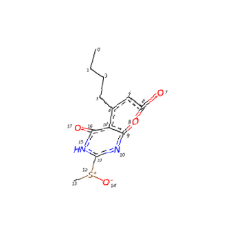 CCCCc1cc(=O)oc2nc([S+](C)[O-])[nH]c(=O)c12